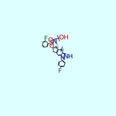 C[C@H]1C2=CNN(c3ccc(F)cc3)C2=CC2=C1[C@@H](CN(CC(C)(C)O)S(=O)(=O)c1ccccc1F)CC2